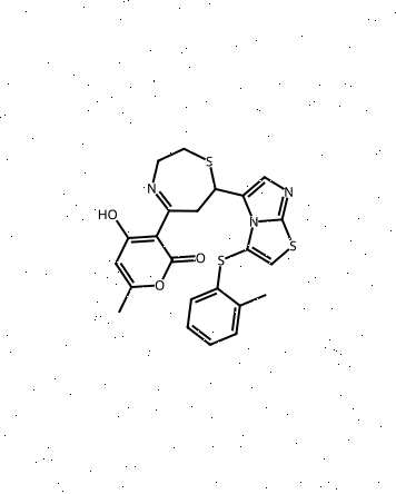 Cc1cc(O)c(C2=NCCSC(c3cnc4scc(Sc5ccccc5C)n34)C2)c(=O)o1